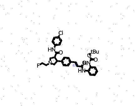 CC(C)(C)OC(=O)Nc1ccccc1NC(=O)/C=C/c1ccc(C2CN(CCF)CC2C(=O)Nc2ccc(Cl)cc2)cc1